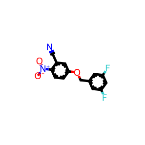 N#Cc1cc(OCc2cc(F)cc(F)c2)ccc1[N+](=O)[O-]